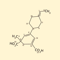 CC=C1CCC(C2=CC(C)(C(=O)O)CC(C(=O)O)=C2)CC1